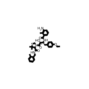 CCOc1ccc(C[C@H](NC(=O)c2cccc(N)c2C)[C@H](O)C(=O)N2CSC(C)(C)C2C(=O)NCc2ccccc2C)cc1